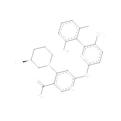 COc1cccc(F)c1-c1nc(Nc2cc(N3CCC[C@H](O)C3)c(C(N)=O)cn2)ccc1[N+](=O)[O-]